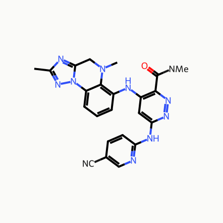 CNC(=O)c1nnc(Nc2ccc(C#N)cn2)cc1Nc1cccc2c1N(C)Cc1nc(C)nn1-2